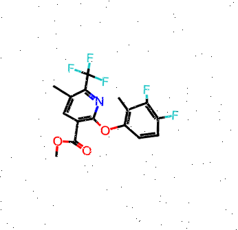 COC(=O)c1cc(C)c(C(F)(F)F)nc1Oc1ccc(F)c(F)c1C